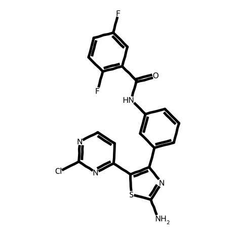 Nc1nc(-c2cccc(NC(=O)c3cc(F)ccc3F)c2)c(-c2ccnc(Cl)n2)s1